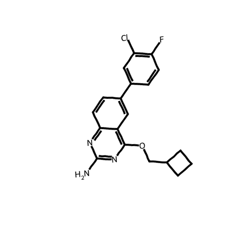 Nc1nc(OCC2CCC2)c2cc(-c3ccc(F)c(Cl)c3)ccc2n1